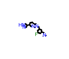 CN(C)Cc1cc(F)cc(CN2C=C3C=CC(c4cn[nH]c4)=CN3C2)c1